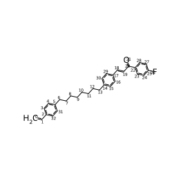 C=Cc1ccc(CCCCCCCCc2ccc(/C=C/C(=O)c3ccc(F)cc3)cc2)cc1